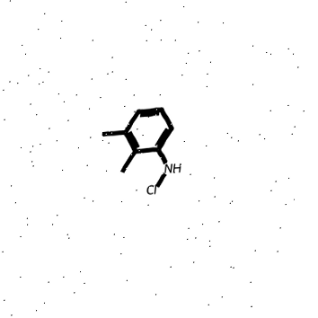 Cc1[c]ccc(NCl)c1C